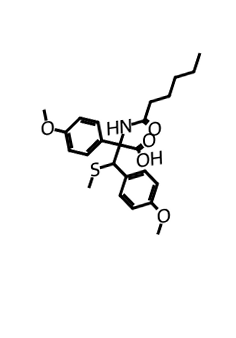 CCCCCC(=O)NC(C(=O)O)(c1ccc(OC)cc1)C(SC)c1ccc(OC)cc1